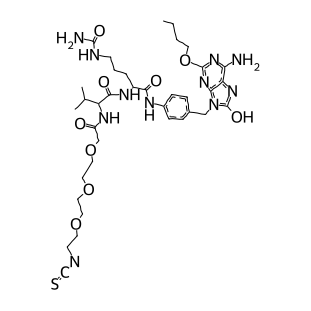 CCCCOc1nc(N)c2nc(O)n(Cc3ccc(NC(=O)C(CCCNC(N)=O)NC(=O)C(NC(=O)COCCOCCOCCN=C=S)C(C)C)cc3)c2n1